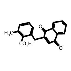 Cc1cccc(CC2=CC(=O)c3ccccc3C2=O)c1C(=O)O